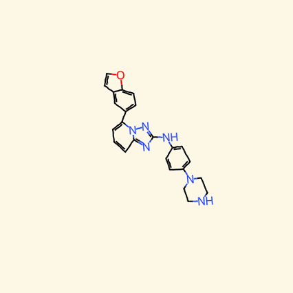 c1cc(-c2ccc3occc3c2)n2nc(Nc3ccc(N4CCNCC4)cc3)nc2c1